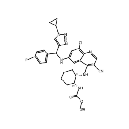 CC(C)(C)OC(=O)N[C@@H]1CCCC[C@@H]1Nc1c(C#N)cnc2c(Cl)cc(NC(c3ccc(F)cc3)c3cn(C4CC4)nn3)cc12